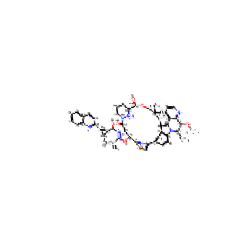 CCO[C@@H]1c2nc(cs2)-c2ccc3c(c2)c(c(-c2cccnc2[C@H](C)OC)n3CC)CC(C)(C)COC(=O)[C@@H]2CCCN(N2)C(=O)[C@H]1NC(=O)[C@H]1[C@H](C)[C@@H]1c1ccc2ccccc2n1